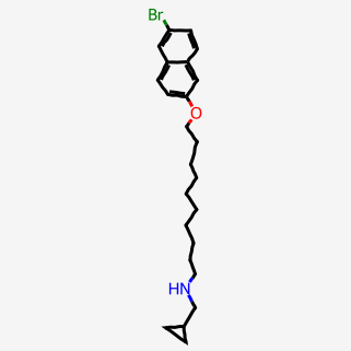 Brc1ccc2cc(OCCCCCCCCCCNCC3CC3)ccc2c1